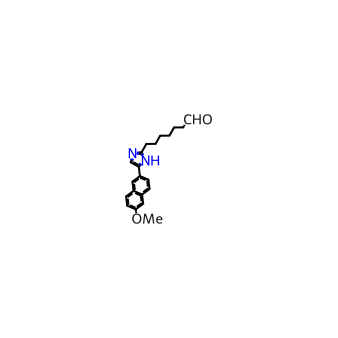 COc1ccc2cc(-c3cnc(CCCCCCC=O)[nH]3)ccc2c1